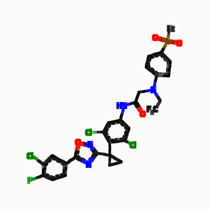 CCS(=O)(=O)c1ccc(N(CC(=O)Nc2cc(Cl)c(C3(c4noc(-c5ccc(F)c(Cl)c5)n4)CC3)c(Cl)c2)CC(F)(F)F)cc1